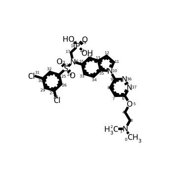 CN(C)CCOc1ccc(-n2ccc3cc(N(CP(=O)(O)O)S(=O)(=O)c4cc(Cl)cc(Cl)c4)ccc32)nn1